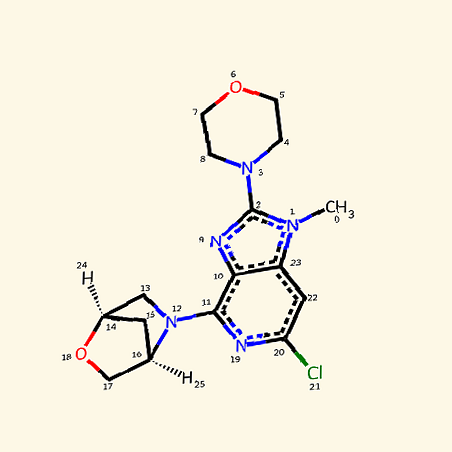 Cn1c(N2CCOCC2)nc2c(N3C[C@H]4C[C@@H]3CO4)nc(Cl)cc21